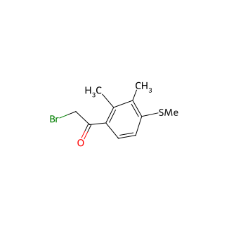 CSc1ccc(C(=O)CBr)c(C)c1C